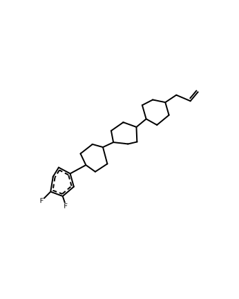 C=CCC1CCC(C2CCC(C3CCC(c4ccc(F)c(F)c4)CC3)CC2)CC1